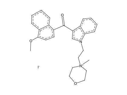 COc1ccc(C(=O)c2cn(CC[N+]3(C)CCOCC3)c3ccccc23)c2ccccc12.[I-]